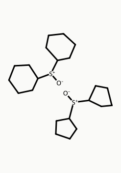 [O-][S+](C1CCCC1)C1CCCC1.[O-][S+](C1CCCCC1)C1CCCCC1